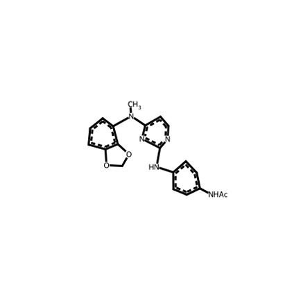 CC(=O)Nc1ccc(Nc2nccc(N(C)c3cccc4c3OCO4)n2)cc1